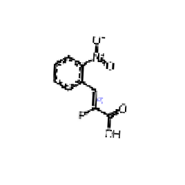 O=C(O)/C(F)=C/c1ccccc1[N+](=O)[O-]